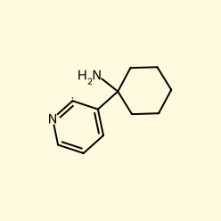 NC1(c2[c]nccc2)CCCCC1